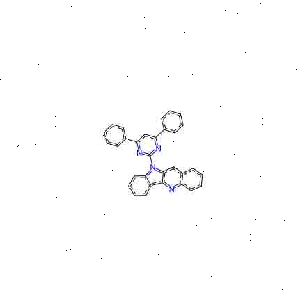 c1ccc(-c2cc(-c3ccccc3)nc(-n3c4ccccc4c4nc5ccccc5cc43)n2)cc1